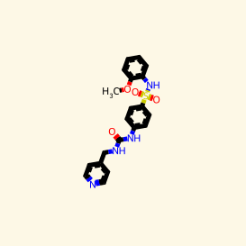 COc1ccccc1NS(=O)(=O)c1ccc(NC(=O)NCc2ccncc2)cc1